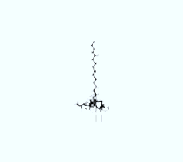 CCCCCCCCCCCCCCCOC1CC(=O)N[C@]1(O)C(=O)OCCC